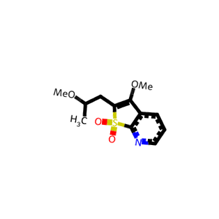 COC1=C(CC(C)OC)S(=O)(=O)c2ncccc21